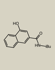 CCC(C)NC(=O)c1cc(O)c2ccccc2c1